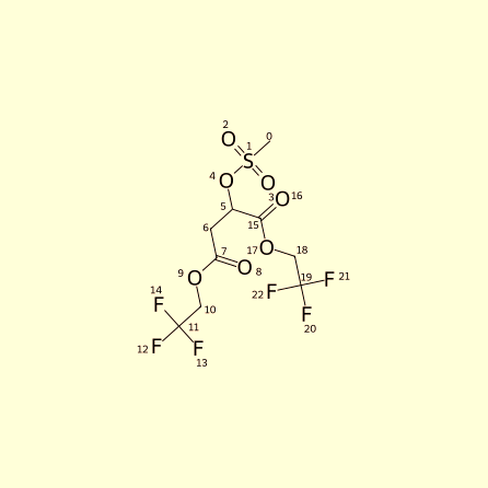 CS(=O)(=O)OC(CC(=O)OCC(F)(F)F)C(=O)OCC(F)(F)F